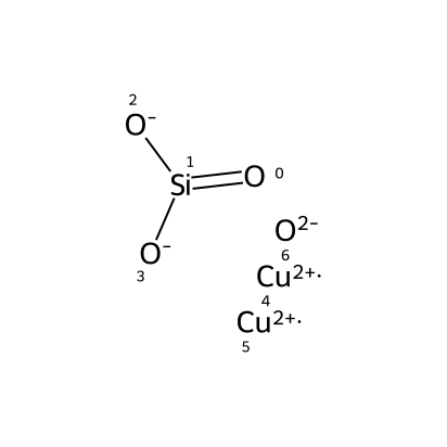 O=[Si]([O-])[O-].[Cu+2].[Cu+2].[O-2]